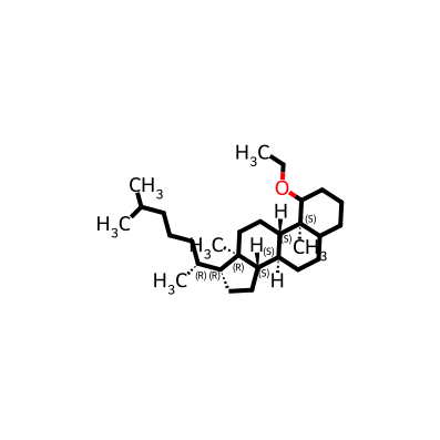 CCOC1CCCC2CC[C@@H]3[C@H](CC[C@]4(C)[C@@H]([C@H](C)CCCC(C)C)CC[C@@H]34)[C@]21C